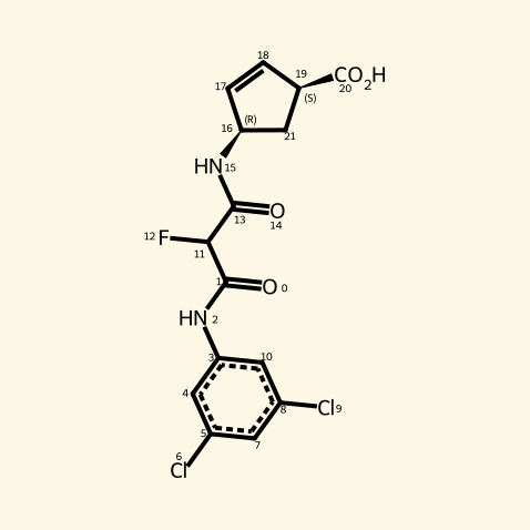 O=C(Nc1cc(Cl)cc(Cl)c1)C(F)C(=O)N[C@H]1C=C[C@@H](C(=O)O)C1